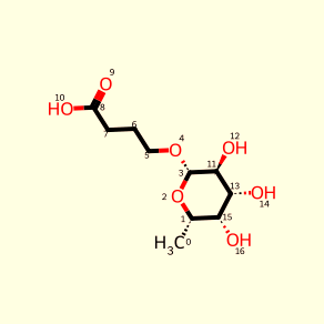 C[C@@H]1O[C@H](OCCCC(=O)O)[C@@H](O)[C@H](O)[C@@H]1O